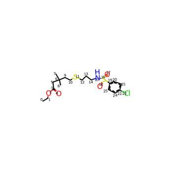 CCOC(=O)CC(C)(C)CCSCCCNS(=O)(=O)c1ccc(Cl)cc1